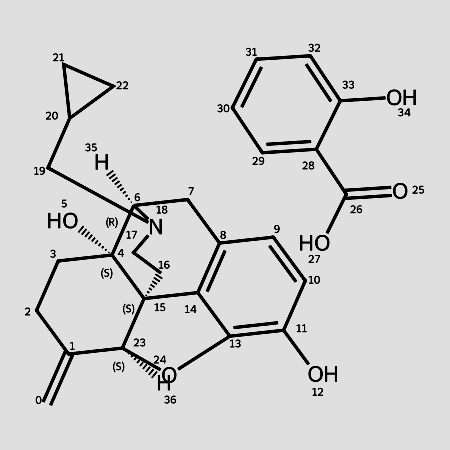 C=C1CC[C@@]2(O)[C@H]3Cc4ccc(O)c5c4[C@@]2(CCN3CC2CC2)[C@H]1O5.O=C(O)c1ccccc1O